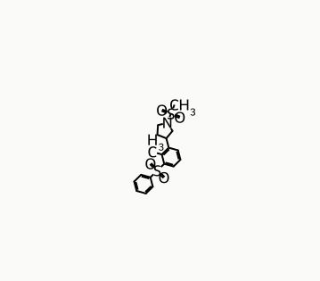 Cc1c(C2CCN(S(C)(=O)=O)C2)cccc1S(=O)(=O)c1ccccc1